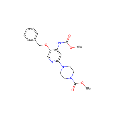 CC(C)(C)OC(=O)Nc1cc(N2CCN(C(=O)OC(C)(C)C)CC2)ncc1OCc1ccccc1